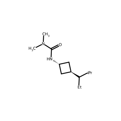 CCC(C(C)C)[C@H]1C[C@H](NC(=O)N(C)C)C1